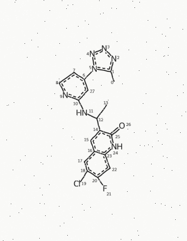 Cc1nnnn1-c1ccnc(NC(C)c2cc3cc(Cl)c(F)cc3[nH]c2=O)c1